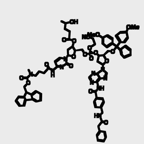 COc1ccc(C(OC[C@H]2O[C@@H](n3cnc4c(NC(=O)c5ccc(CNC(=O)Cc6ccccc6)cc5)ncnc43)CC2OP(=O)(OCCC#N)OC[C@H]2O[C@@H](n3ccc(NC(=O)CCCN(C)C(=O)OCC4c5ccccc5-c5ccccc54)nc3=O)CC2OC(=O)CCC(C)O)(c2ccccc2)c2ccc(OC)cc2)cc1